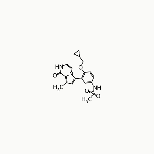 Cc1cc(-c2cc(NS(C)(=O)=O)ccc2OCC2CC2)n2cc[nH]c(=O)c12